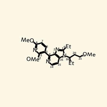 CCc1nc2c(-c3ccc(OC)nc3OC)nccc2n1C(CC)CCOC